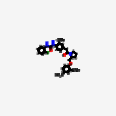 COc1cc(CC(=O)N2CCCC2COc2ccc(C(=O)O)cc2OC)ccc1NC(=O)Nc1ccccc1F